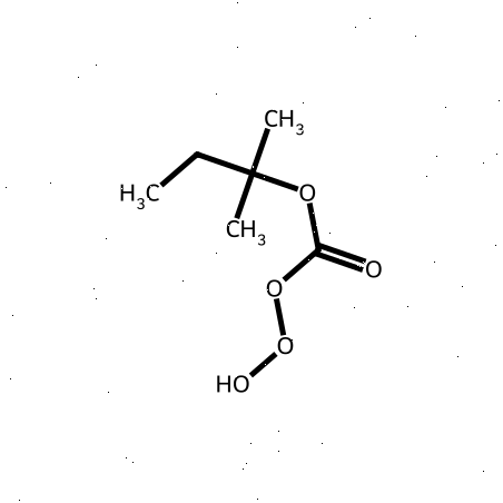 CCC(C)(C)OC(=O)OOO